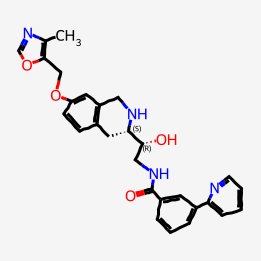 Cc1ncoc1COc1ccc2c(c1)CN[C@H]([C@H](O)CNC(=O)c1cccc(-c3ccccn3)c1)C2